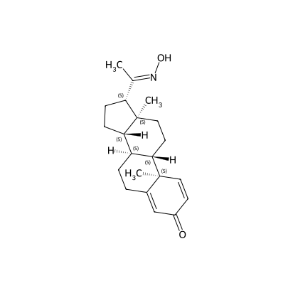 CC(=NO)[C@H]1CC[C@H]2[C@@H]3CCC4=CC(=O)C=C[C@]4(C)[C@H]3CC[C@]12C